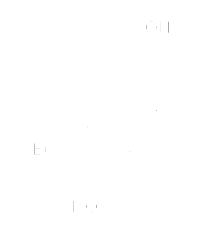 CCC12CC(O)C(CC1O)C2